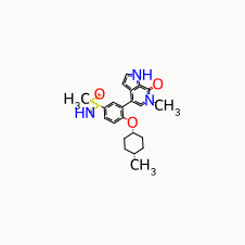 Cn1cc(-c2cc(S(C)(=N)=O)ccc2O[C@H]2CC[C@@H](C)CC2)c2cc[nH]c2c1=O